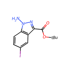 CC(C)(C)OC(=O)c1nn(N)c2ccc(I)cc12